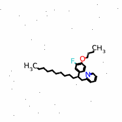 CCCCCCCCCCC(Cc1ccccn1)c1ccc(OCCCC)c(F)c1